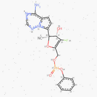 N#C[C@@]1(c2ccc3c(N)ncnn23)OC(CO[PH](=O)Oc2ccccc2)=C(F)[C@H]1O